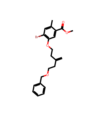 C=C(CCOCc1ccccc1)CCOc1cc(C(=O)OC)c(C)cc1Br